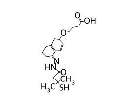 CC(C)(S)CC(=O)NN=C1CCCC2=C1C=CC(OCCCC(=O)O)C2